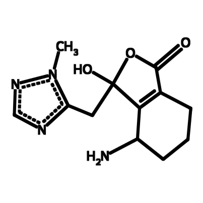 Cn1ncnc1CC1(O)OC(=O)C2=C1C(N)CCC2